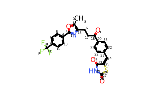 Cc1oc(-c2ccc(C(F)(F)F)cc2)nc1CCC(=O)c1ccc(C=C2SC(=O)NC2=O)cc1